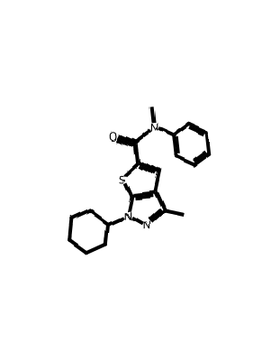 Cc1nn(C2CCCCC2)c2sc(C(=O)N(C)c3ccccc3)cc12